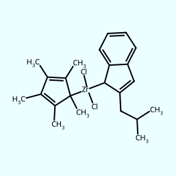 CC1=C(C)[C](C)([Zr]([Cl])([Cl])[CH]2C(CC(C)C)=Cc3ccccc32)C(C)=C1C